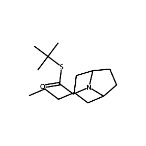 CCCC1CC2CCC(C1)N2CC(=O)SC(C)(C)C